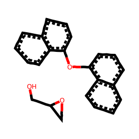 OCC1CO1.c1ccc2c(Oc3cccc4ccccc34)cccc2c1